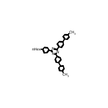 CCCCCCc1ccc(-c2nc(-c3ccc(-c4ccc(C)cc4)cc3)nc(-c3ccc(-c4ccc(C)cc4)cc3)n2)cc1